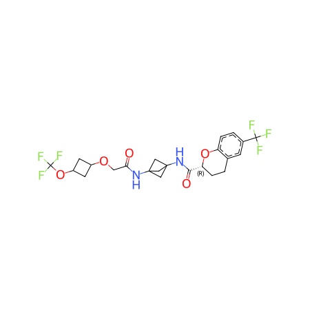 O=C(COC1CC(OC(F)(F)F)C1)NC12CC(NC(=O)[C@H]3CCc4cc(C(F)(F)F)ccc4O3)(C1)C2